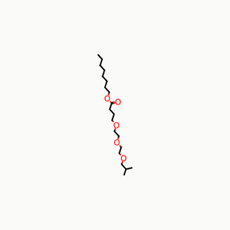 CCCCCCCCOC(=O)CCCOCCOCCOCC(C)C